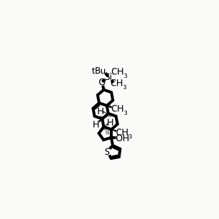 CC(C)(C)[Si](C)(C)OC1CC[C@@]2(C)C(=CC[C@@H]3[C@@H]2CC[C@@]2(C)[C@H]3CCC2(O)c2cccs2)C1